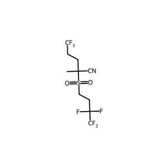 CC(C#N)(CCC(F)(F)F)S(=O)(=O)CCC(F)(F)C(F)(F)F